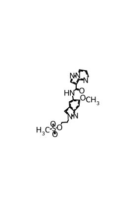 COc1cc2nn(CCOS(C)(=O)=O)cc2cc1NC(=O)c1cnn2cccnc12